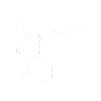 CCc1nc2ccccc2n1CC=O